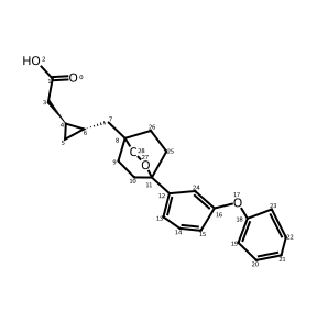 O=C(O)C[C@@H]1C[C@H]1CC12CCC(c3cccc(Oc4ccccc4)c3)(CC1)OC2